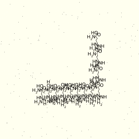 N=C(N)NCCC[C@H](N)C(=O)O.N=C(N)NCCC[C@H](N)C(=O)O.N=C(N)NCCC[C@H](N)C(=O)O.N=C(N)NCCC[C@H](N)C(=O)O.N=C(N)NCCC[C@H](N)C(=O)O.N=C(N)NCCC[C@H](N)C(=O)O.N=C(N)NCCC[C@H](N)C(=O)O.N=C(N)NCCC[C@H](N)C(=O)O.N=C(N)NCCC[C@H](N)C(=O)O.N=C(N)NCCC[C@H](N)C(=O)O.N=C(N)NCCC[C@H](N)C(=O)O.N=C(N)NCCC[C@H](N)C(=O)O